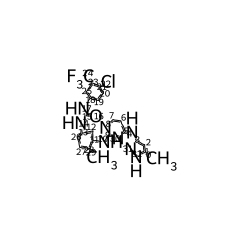 Cc1cc(Nc2ccnc(Nc3cc(NC(=O)Nc4ccc(Cl)c(C(F)(F)F)c4)ccc3C)n2)n[nH]1